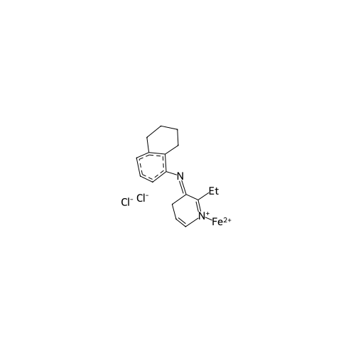 CCC1=[N+]([Fe+2])C=CCC1=Nc1cccc2c1CCCC2.[Cl-].[Cl-]